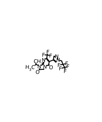 CC(C)N1C(=O)Cn2c1nc(C(F)(F)F)c(-c1cnn(CC(F)(F)C(F)(F)F)c1)c2=O